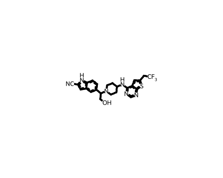 N#Cc1cc2cc(C(CO)N3CCC(Nc4ncnc5sc(CC(F)(F)F)cc45)CC3)ccc2[nH]1